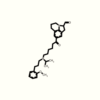 COc1ccccc1CCCN(CCCCCC(=O)c1cc2c3c(c1)CC(C=O)N3CCC2)C(C)C